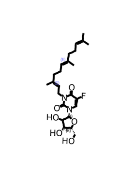 CC(C)=CCC/C(C)=C/CC/C(C)=C/Cn1c(=O)c(F)cn([C@@H]2O[C@H](CO)[C@H](O)C2O)c1=O